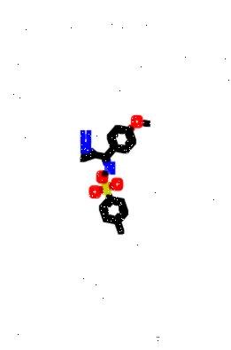 COc1ccc(/C(=N/OS(=O)(=O)c2ccc(C)cc2)C2CN2)cc1